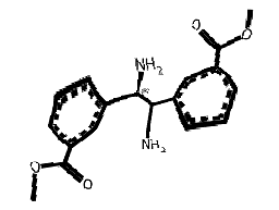 COC(=O)c1cccc(C(N)[C@H](N)c2cccc(C(=O)OC)c2)c1